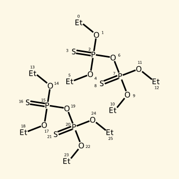 CCOP(=S)(OCC)OP(=S)(OCC)OCC.CCOP(=S)(OCC)OP(=S)(OCC)OCC